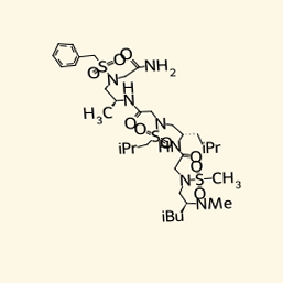 CCC(C)[C@@H](CN(CC(=O)N[C@@H](CC(C)C)CN(CC(=O)N[C@@H](C)CN(CC(N)=O)S(=O)(=O)Cc1ccccc1)S(=O)(=O)CC(C)C)S(C)(=O)=O)NC